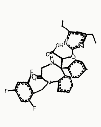 CCc1cc(CC)nc(O[C@H](C(=O)O)[C@@]2(c3ccccc3)NCC(=O)N(Cc3c(F)cc(F)cc3F)c3ccccc32)n1